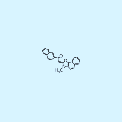 CN1C(=CC(=O)c2ccc3ccccc3c2)Oc2c1ccc1ccccc21